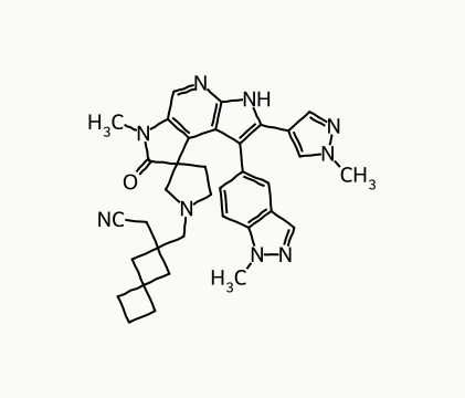 CN1C(=O)C2(CCN(CC3(CC#N)CC4(CCC4)C3)C2)c2c1cnc1[nH]c(-c3cnn(C)c3)c(-c3ccc4c(cnn4C)c3)c21